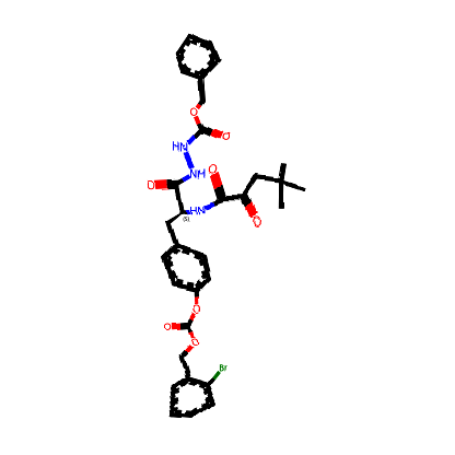 CC(C)(C)CC(=O)C(=O)N[C@@H](Cc1ccc(OC(=O)OCc2ccccc2Br)cc1)C(=O)NNC(=O)OCc1ccccc1